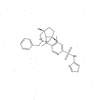 Cc1cc(S(=O)(=O)Nc2cscn2)ncc1N(C)[C@@H]1[C@@H]2CC[C@H]1CN(Cc1ccccc1)C2